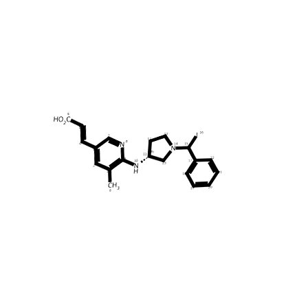 Cc1cc(C=CC(=O)O)cnc1N[C@@H]1CCN(C(I)c2ccccc2)C1